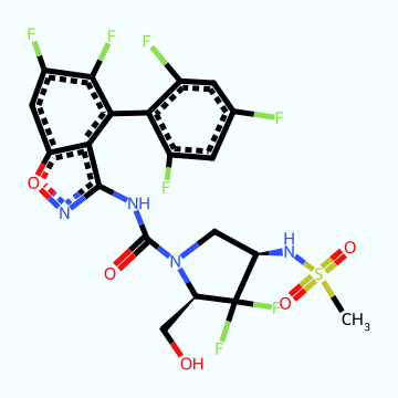 CS(=O)(=O)N[C@@H]1CN(C(=O)Nc2noc3cc(F)c(F)c(-c4c(F)cc(F)cc4F)c23)[C@H](CO)C1(F)F